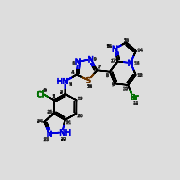 Clc1c(Nc2nnc(-c3cc(Br)cn4ccnc34)s2)ccc2[nH]ncc12